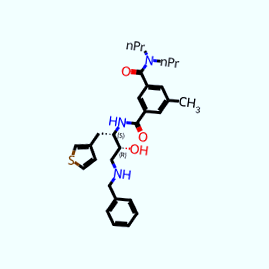 CCCN(CCC)C(=O)c1cc(C)cc(C(=O)N[C@@H](Cc2ccsc2)[C@H](O)CNCc2ccccc2)c1